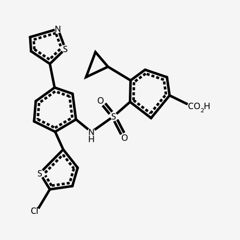 O=C(O)c1ccc(C2CC2)c(S(=O)(=O)Nc2cc(-c3ccns3)ccc2-c2ccc(Cl)s2)c1